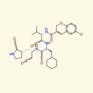 CC(C)[C@H](NC(=O)C1=Cc2cc(Cl)ccc2OC1)C(=C=O)N[C@@H](CC1CCCCC1)C(=C=O)N[C@H](C=C=O)C[C@@H]1CCNC1=C=O